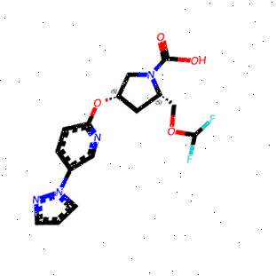 O=C(O)N1C[C@@H](Oc2ccc(-n3cccn3)cn2)C[C@H]1COC(F)F